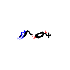 CC(C)(C)CC(=O)c1ccc(OCCCc2c[nH]cn2)cc1